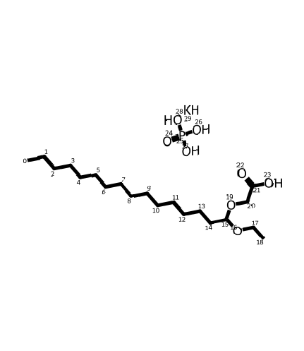 CCCCCCCCCCCCCCCC(OCC)OCC(=O)O.O=P(O)(O)O.[KH]